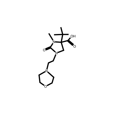 CN1C(=O)N(CCN2CCOCC2)CC1(C(=O)O)C(C)(C)C